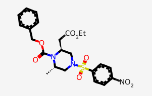 CCOC(=O)C[C@H]1CN(S(=O)(=O)c2ccc([N+](=O)[O-])cc2)C[C@H](C)N1C(=O)OCc1ccccc1